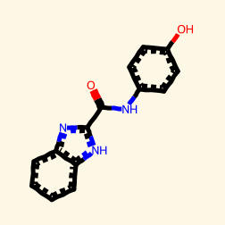 O=C(Nc1ccc(O)cc1)c1nc2ccccc2[nH]1